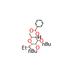 CCCCOC1[C@H]2OC(c3ccccc3)OCC2O[C@@H](SCC)[C@H]1OCCCC